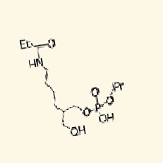 CCC(=O)NCCCCC(CO)COP(=O)(O)OC(C)C